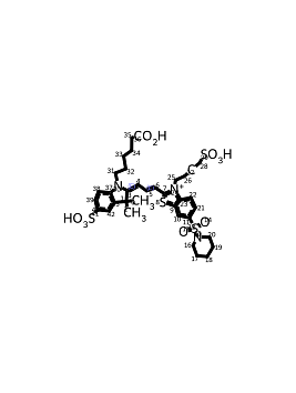 CC1(C)/C(=C\C=C\c2sc3cc(S(=O)(=O)N4CCCCC4)ccc3[n+]2CCCCS(=O)(=O)O)N(CCCCCC(=O)O)c2ccc(S(=O)(=O)O)cc21